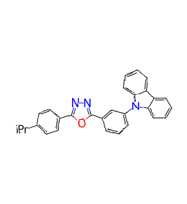 CC(C)c1ccc(-c2nnc(-c3cccc(-n4c5ccccc5c5ccccc54)c3)o2)cc1